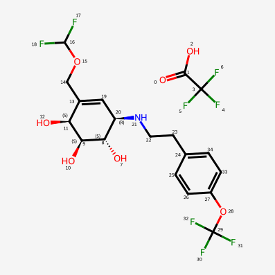 O=C(O)C(F)(F)F.O[C@@H]1[C@@H](O)[C@@H](O)C(COC(F)F)=C[C@H]1NCCc1ccc(OC(F)(F)F)cc1